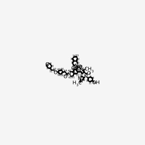 Cc1c(C(=O)N(c2ccc(O)cc2)c2cnn(C)c2)cc(-c2cc3c(cc2C(=O)N2Cc4ccccc4C[C@H]2C)CN(C(=O)Cc2ccc(OCCC4CCOCC4)cc2)CC3)n1C